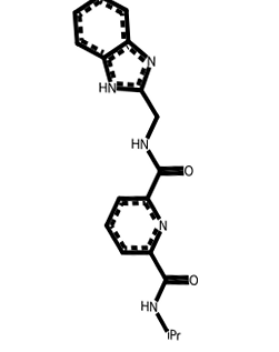 CC(C)NC(=O)c1cccc(C(=O)NCc2nc3ccccc3[nH]2)n1